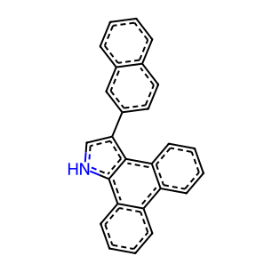 c1ccc2cc(-c3c[nH]c4c5ccccc5c5ccccc5c34)ccc2c1